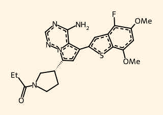 CCC(=O)N1CC[C@@H](c2cc(-c3cc4c(F)c(OC)cc(OC)c4s3)c3c(N)ncnn23)C1